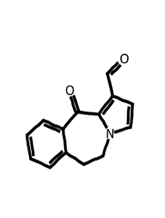 O=Cc1ccn2c1C(=O)c1ccccc1CC2